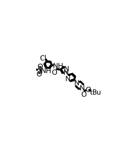 CC(C)(C)OC(=O)N1CCN(c2ccc(-n3cc(C(=O)Nc4cc(Cl)cc(NS(C)(=O)=O)c4)cn3)nc2)CC1